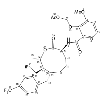 COc1ccnc(C(=O)N[C@H]2CCC[C@H](Cc3ccc(C(F)(F)F)cc3)[C@@H](CC(C)C)[C@H](C)OC2=O)c1OCOC(C)=O